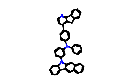 c1ccc(N(c2ccc(-c3ccnc4c3Cc3ccccc3-4)cc2)c2cccc(-n3c4ccccc4c4cc5ccccc5cc43)c2)cc1